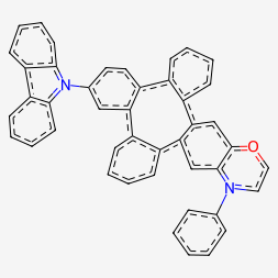 c1ccc(-n2ccoc3cc4c5ccccc5c5ccc(-n6c7ccccc7c7ccccc76)cc5c5ccccc5c4cc32)cc1